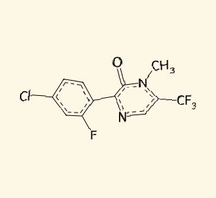 Cn1c(C(F)(F)F)cnc(-c2ccc(Cl)cc2F)c1=O